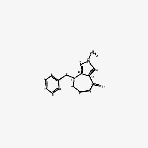 O=C1CCCN(Cc2ccccc2)c2nn(P)cc21